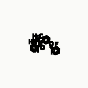 Cc1ccc(OCc2ncccc2F)cc1-n1c(=O)[nH]c2cccnc2c1=O